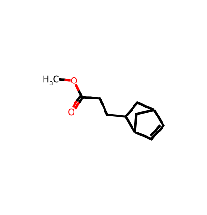 COC(=O)CCC1CC2C=CC1C2